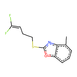 Cc1cccc2oc(SCCC=C(F)F)nc12